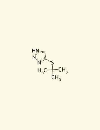 CC(C)(C)Sc1c[nH]nn1